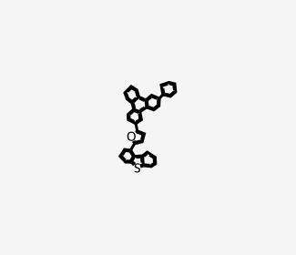 c1ccc(-c2ccc3c(c2)c2ccccc2c2ccc(-c4ccc(-c5cccc6sc7ccccc7c56)o4)cc23)cc1